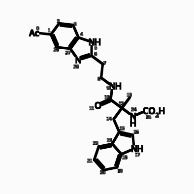 CC(=O)c1ccc2[nH]c(CCNC(=O)C(C)(Cc3c[nH]c4ccccc34)NC(=O)O)nc2c1